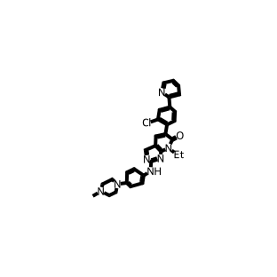 CCn1c(=O)c(-c2ccc(-c3ccccn3)cc2Cl)cc2cnc(Nc3ccc(N4CCN(C)CC4)cc3)nc21